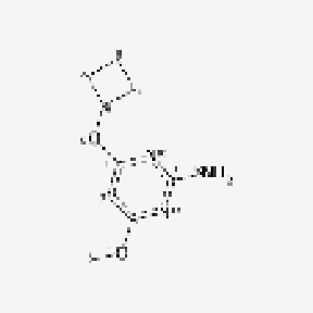 COc1cc(OC2CCC2)nc(N)n1